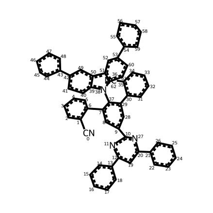 N#Cc1ccccc1-c1cc(-c2nc(-c3ccccc3)cc(-c3ccccc3)n2)cc(-c2ccccc2C#N)c1-n1c2ccc(-c3ccccc3)cc2c2cc(-c3ccccc3)ccc21